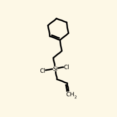 C=CC[Si](Cl)(Cl)CCC1=CCCCC1